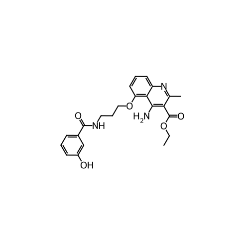 CCOC(=O)c1c(C)nc2cccc(OCCCNC(=O)c3cccc(O)c3)c2c1N